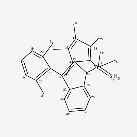 CC1=C(C)C(C)[C]([Zr]([CH3])([CH3])(=[SiH2])[CH]2C=C(c3c(C)cccc3C)c3ccccc32)=C1C